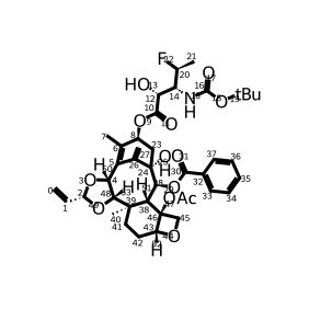 C=C[C@@H]1O[C@@H]2C3=C(C)[C@@H](OC(=O)[C@H](O)[C@@H](NC(=O)OC(C)(C)C)[C@H](C)F)C[C@](O)(C3=C)[C@@H](OC(=O)c3ccccc3)[C@H]3[C@@](C)(CC[C@H]4OC[C@]43OC(C)=O)[C@@H]2O1